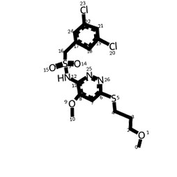 COCCCSc1cc(OC)c(NS(=O)(=O)Cc2cc(Cl)cc(Cl)c2)nn1